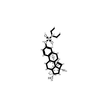 CCN(CC)S(=O)(=O)Oc1ccc2c(c1)CC[C@@H]1C2CC[C@]2(C)[C@@H](O)C[C@@H]3C=C[C@@]132